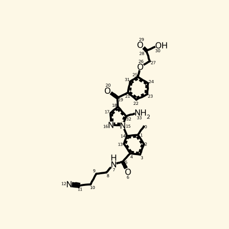 Cc1ccc(C(=O)NCCCC#N)cc1-n1ncc(C(=O)c2cccc(OCC(=O)O)c2)c1N